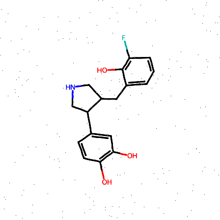 Oc1ccc(C2CNCC2Cc2cccc(F)c2O)cc1O